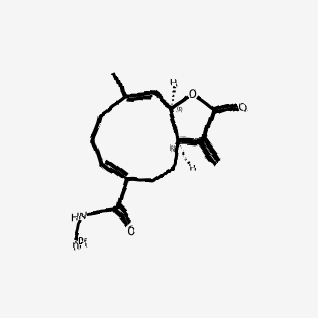 C=C1C(=O)O[C@@H]2C=C(C)CCC=C(C(=O)NCCC)CC[C@H]12